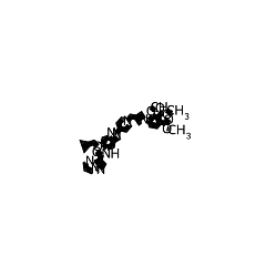 COC(=O)c1ccc(N2CC(CN3CCC(n4cc5cc(NC(=O)c6cnn7cccnc67)c(OCC6CC6)cc5n4)CC3)C2)c(OC)c1C(=O)OC